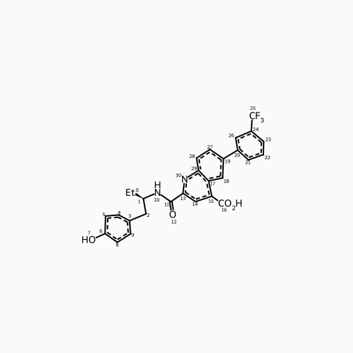 CC[C@H](Cc1ccc(O)cc1)NC(=O)c1cc(C(=O)O)c2cc(-c3cccc(C(F)(F)F)c3)ccc2n1